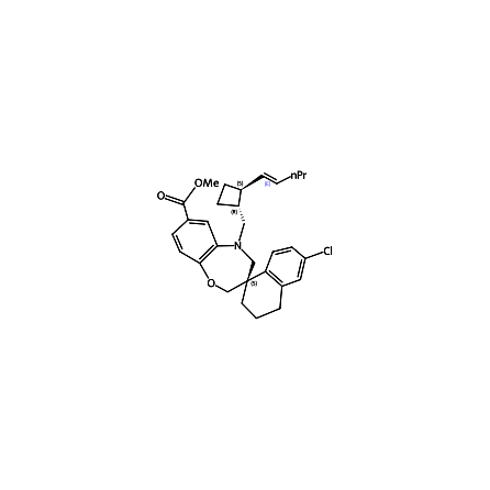 CCC/C=C/[C@@H]1CC[C@H]1CN1C[C@@]2(CCCc3cc(Cl)ccc32)COc2ccc(C(=O)OC)cc21